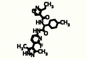 CCc1nocc1C(=O)N[C@H](C(=O)Nc1ccc(-c2c(C)n[nH]c2C)c(F)n1)C1CCC(C)CC1